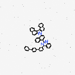 c1ccc(-c2ccc(-c3cccc(-c4nc(-c5ccc(-n6c7ccc8ccccc8c7c7c8ccccc8ccc76)c6ccccc56)nc5ccccc45)c3)cc2)cc1